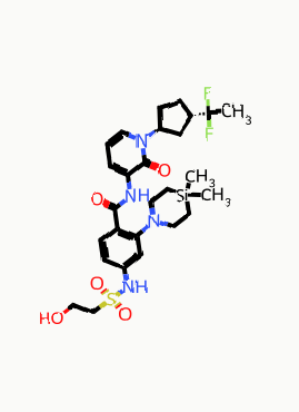 CC(F)(F)[C@H]1CC[C@H](n2cccc(NC(=O)c3ccc(NS(=O)(=O)CCO)cc3N3CC[Si](C)(C)CC3)c2=O)C1